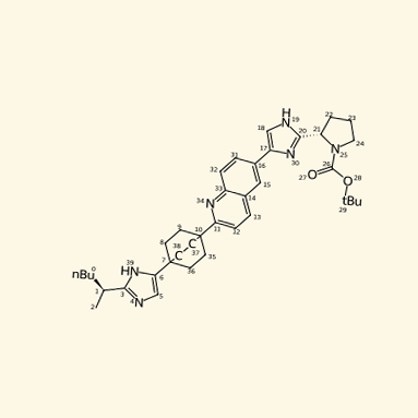 CCCC[C@H](C)c1ncc(C23CCC(c4ccc5cc(-c6c[nH]c([C@@H]7CCCN7C(=O)OC(C)(C)C)n6)ccc5n4)(CC2)CC3)[nH]1